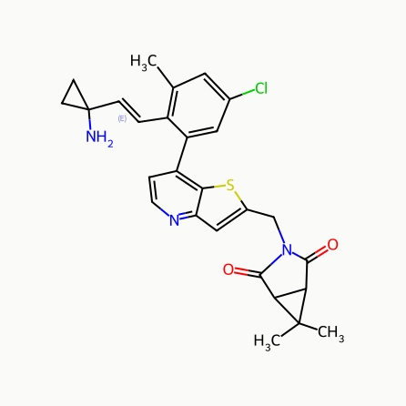 Cc1cc(Cl)cc(-c2ccnc3cc(CN4C(=O)C5C(C4=O)C5(C)C)sc23)c1/C=C/C1(N)CC1